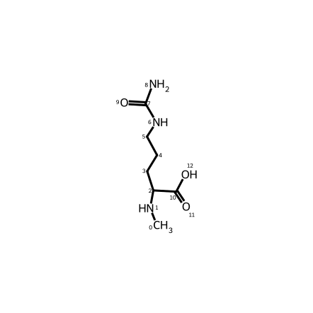 CNC(CCCNC(N)=O)C(=O)O